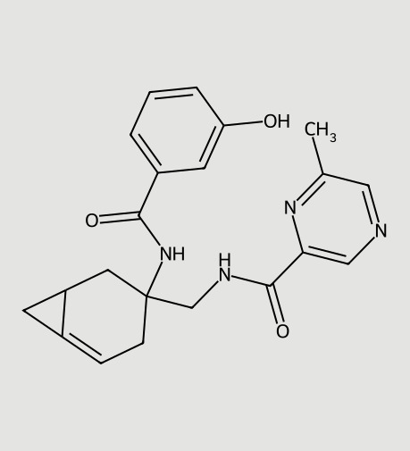 Cc1cncc(C(=O)NCC2(NC(=O)c3cccc(O)c3)CC=C3CC3C2)n1